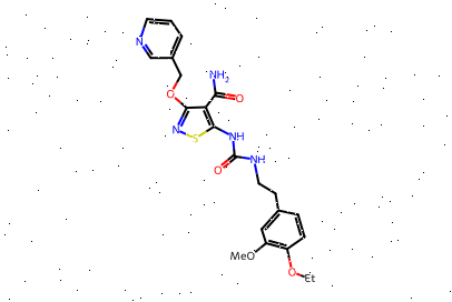 CCOc1ccc(CCNC(=O)Nc2snc(OCc3cccnc3)c2C(N)=O)cc1OC